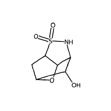 O=S1(=O)NC2C(O)C3CC1C2O3